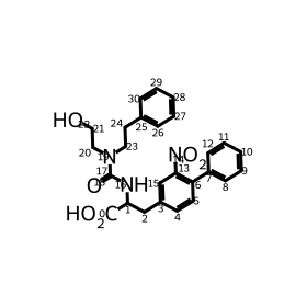 O=C(O)C(Cc1ccc(-c2ccccc2)c([N+](=O)[O-])c1)NC(=O)N(CCO)CCc1ccccc1